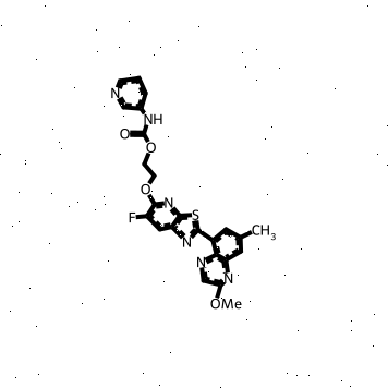 COc1cnc2c(-c3nc4cc(F)c(OCCOC(=O)Nc5cccnc5)nc4s3)cc(C)cc2n1